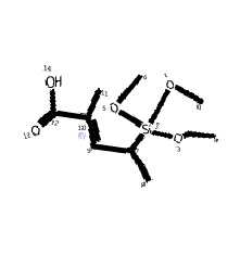 CO[Si](OC)(OC)C(C)/C=C(\C)C(=O)O